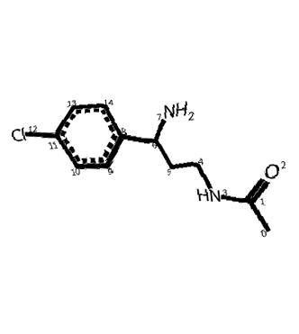 CC(=O)NCCC(N)c1ccc(Cl)cc1